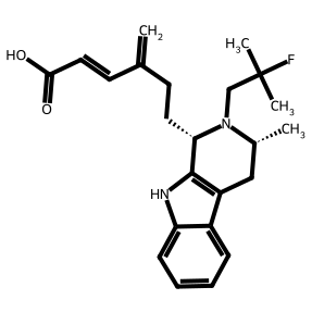 C=C(/C=C/C(=O)O)CC[C@H]1c2[nH]c3ccccc3c2C[C@@H](C)N1CC(C)(C)F